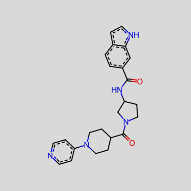 O=C(NC1CCN(C(=O)C2CCN(c3ccncc3)CC2)C1)c1ccc2cc[nH]c2c1